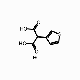 Cl.O=C(O)C(C(=O)O)c1ccsc1